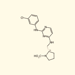 O=C(O)N1CCC[C@H]1CNc1ccnc(Nc2cccc(Cl)c2)n1